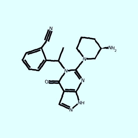 CC(c1ccccc1C#N)n1c(N2CCC[C@@H](N)C2)nc2[nH]ncc2c1=O